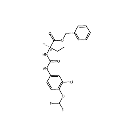 CC[C@@](C)(NC(=O)Nc1ccc(OC(F)F)c(Cl)c1)C(=O)OCc1ccccc1